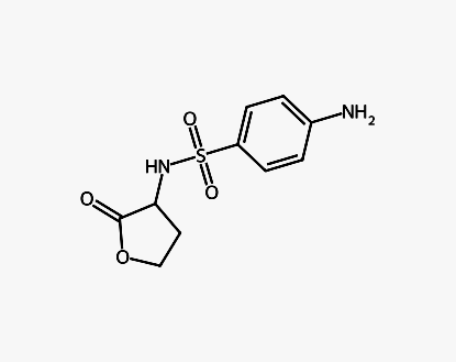 Nc1ccc(S(=O)(=O)NC2CCOC2=O)cc1